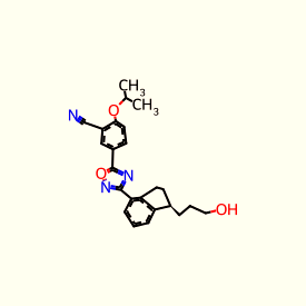 CC(C)Oc1ccc(-c2nc(-c3cccc4c3CC[C@H]4CCCO)no2)cc1C#N